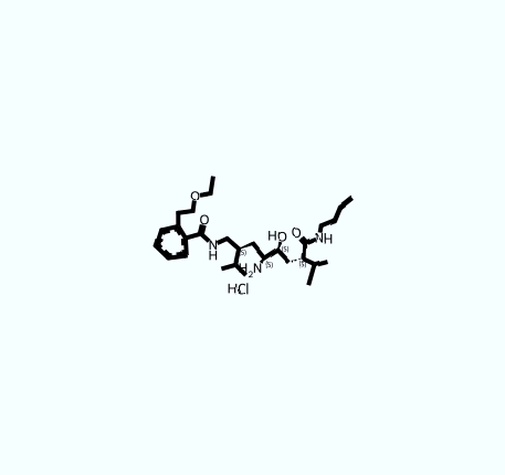 CCCCNC(=O)[C@@H](C[C@H](O)[C@@H](N)C[C@H](CNC(=O)c1ccccc1CCOCC)C(C)C)C(C)C.Cl